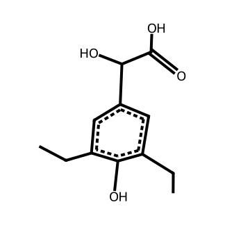 CCc1cc(C(O)C(=O)O)cc(CC)c1O